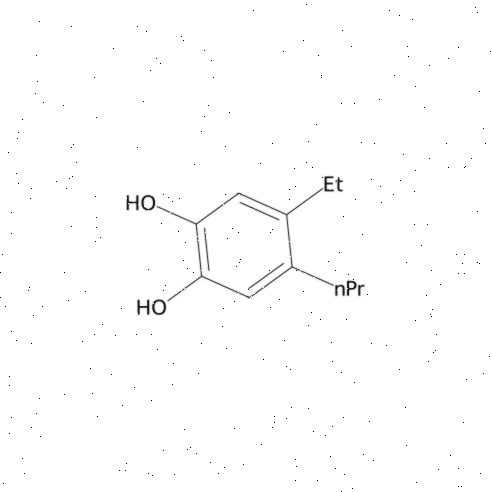 CCCc1cc(O)c(O)cc1CC